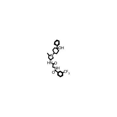 CC1C[C@@H](NC(=O)CNC(=O)c2cccc(C(F)(F)F)c2)CN1C1CCC(O)(c2ccccc2)CC1